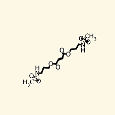 CS(=O)(=O)NCCCOC(=O)/C=C/C(=O)OCCCNS(C)(=O)=O